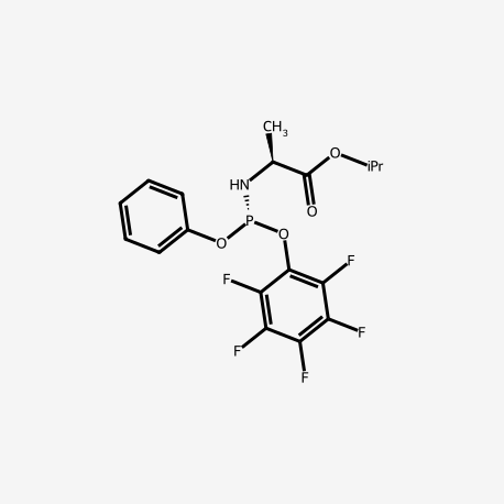 CC(C)OC(=O)[C@H](C)N[P@@](Oc1ccccc1)Oc1c(F)c(F)c(F)c(F)c1F